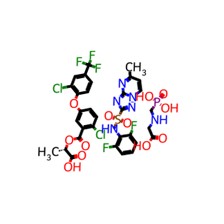 C[C@H](OC(=O)c1cc(Oc2ccc(C(F)(F)F)cc2Cl)ccc1Cl)C(=O)O.Cc1ccn2nc(S(=O)(=O)Nc3c(F)cccc3F)nc2n1.O=C(O)CNCP(=O)(O)O